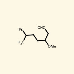 COC(CC=O)CCC(C)C(C)C